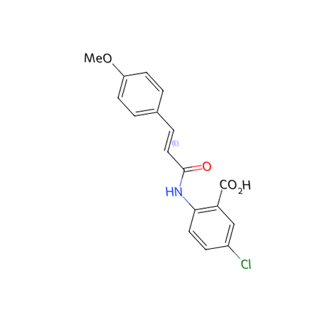 COc1ccc(/C=C/C(=O)Nc2ccc(Cl)cc2C(=O)O)cc1